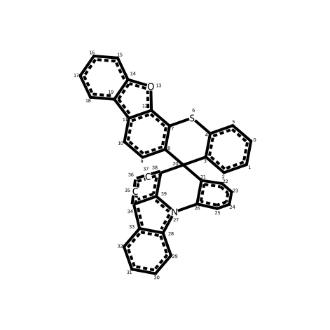 c1ccc2c(c1)Sc1c(ccc3c1oc1ccccc13)C21c2ccccc2-n2c3ccccc3c3cccc1c32